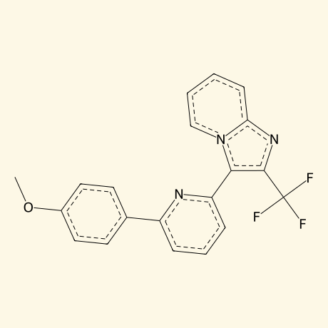 COc1ccc(-c2cccc(-c3c(C(F)(F)F)nc4ccccn34)n2)cc1